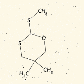 CSC1OCC(C)(C)CS1